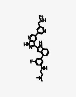 CCNCc1cncc(-c2cnc3[nH]nc(-c4cc5c(-c6cc(F)cc(NCCN(C)C)c6)cccc5[nH]4)c3c2)c1